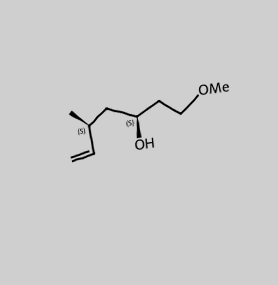 C=C[C@@H](C)C[C@H](O)CCOC